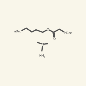 CCCCCCCCCCCCCCOC(=O)CCCCCCCCCCC.CN(C)C.N